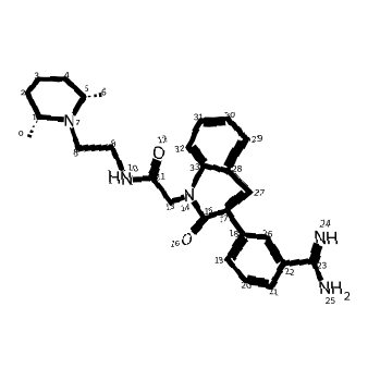 C[C@@H]1CCC[C@H](C)N1CCNC(=O)Cn1c(=O)c(-c2cccc(C(=N)N)c2)cc2ccccc21